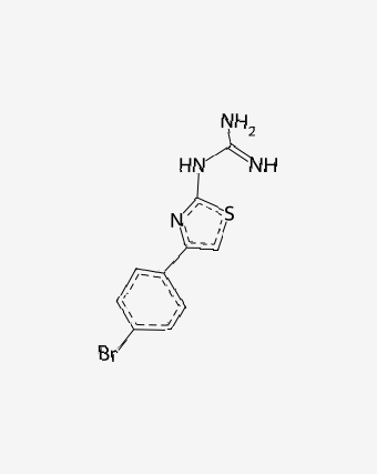 N=C(N)Nc1nc(-c2ccc(Br)cc2)cs1